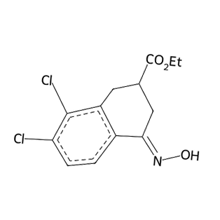 CCOC(=O)C1CC(=NO)c2ccc(Cl)c(Cl)c2C1